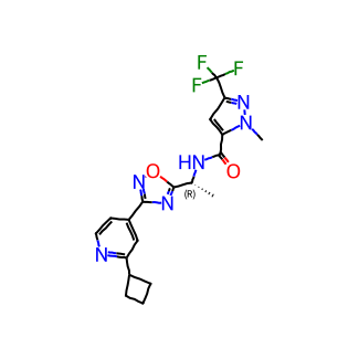 C[C@@H](NC(=O)c1cc(C(F)(F)F)nn1C)c1nc(-c2ccnc(C3CCC3)c2)no1